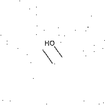 CO.[CH2]C